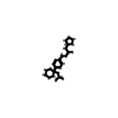 CC(COc1ccc(C2(CN(C)C)CCOCC2)cc1)CN1CCCC1